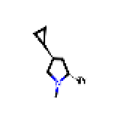 CC(C)[C@H]1C[C@H](C2CC2)CN1C